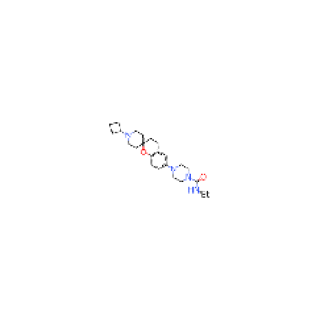 CCNC(=O)N1CCN(c2ccc3c(c2)CCC2(CCN(C4CCC4)CC2)O3)CC1